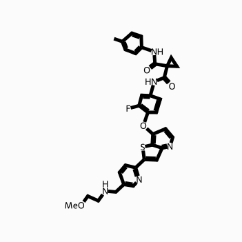 COCCNCc1ccc(-c2cc3nccc(Oc4ccc(NC(=O)C5(C(=O)Nc6ccc(C)cc6)CC5)cc4F)c3s2)nc1